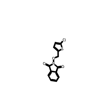 O=C1c2ccccc2C(=O)N1OCc1ccc(Cl)s1